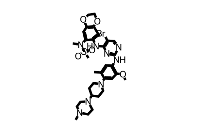 COc1cc(N2CCC(N3CCN(C)CC3)CC2)c(C)cc1Nc1ncc(Br)c(Nc2cc3c(cc2N(C)S(C)(=O)=O)OCCO3)n1